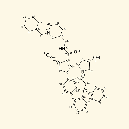 O=C=C1CCN([C@@H]2C[C@H](O)CN2C(=O)CC(c2ccccc2)(c2ccccc2)c2ccccc2)[C@H]1C(=O)NC[C@H]1CCCN(CC2CCCCC2)C1